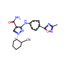 Cc1noc(-c2ccc(Nc3nn([C@H]4CCCCC4C#N)cc3C(N)=O)cc2)n1